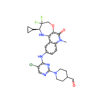 Cn1c(=O)c2c(c3cc(Nc4nc(N5CCC(C=O)CC5)ncc4Cl)ccc31)N[C@@H](C1CC1)C(F)(F)CO2